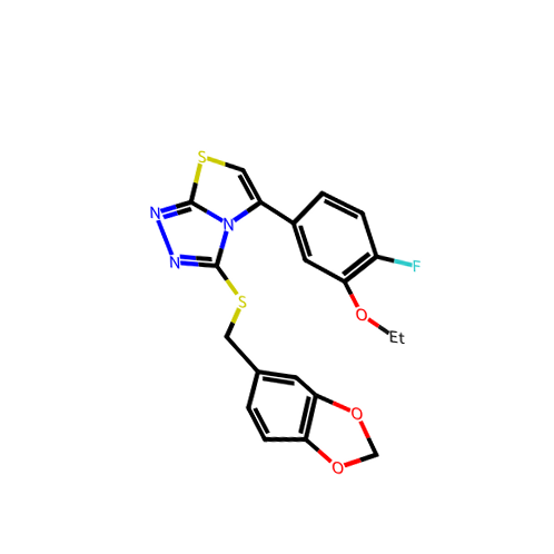 CCOc1cc(-c2csc3nnc(SCc4ccc5c(c4)OCO5)n23)ccc1F